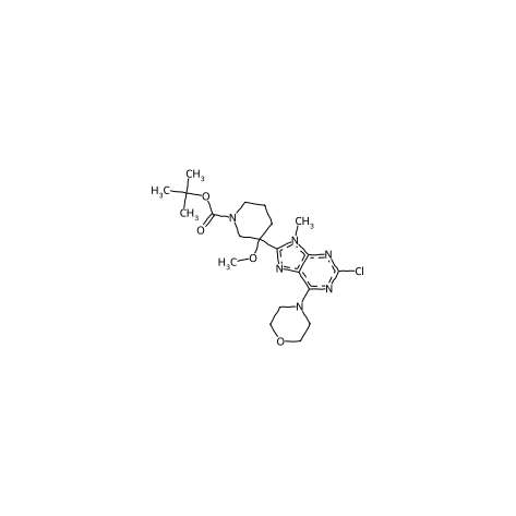 COC1(c2nc3c(N4CCOCC4)nc(Cl)nc3n2C)CCCN(C(=O)OC(C)(C)C)C1